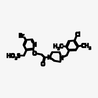 Cc1cc(CN2CCN(C(=O)COc3ncc(Br)cc3CS(=O)(=O)O)CC2)c(C)cc1Cl